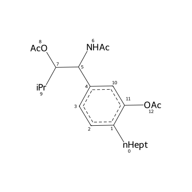 CCCCCCCc1ccc(C(NC(C)=O)C(OC(C)=O)C(C)C)cc1OC(C)=O